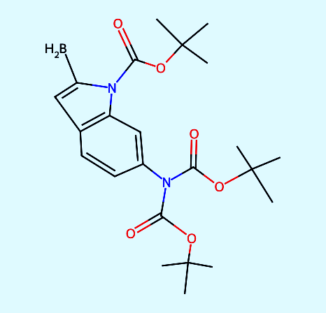 Bc1cc2ccc(N(C(=O)OC(C)(C)C)C(=O)OC(C)(C)C)cc2n1C(=O)OC(C)(C)C